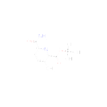 Cc1ccc(C(N)=O)nc1C(=O)OC(C)(C)C